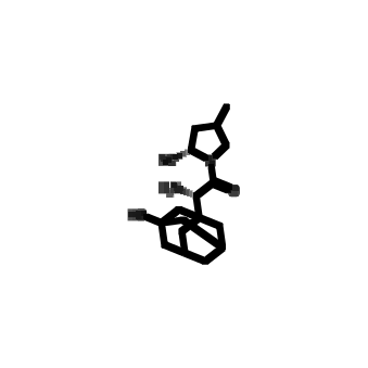 CC1C[C@@H](C#N)N(C(=O)[C@@H](N)C23CC4CC(CC(O)(C4)C2)C3)C1